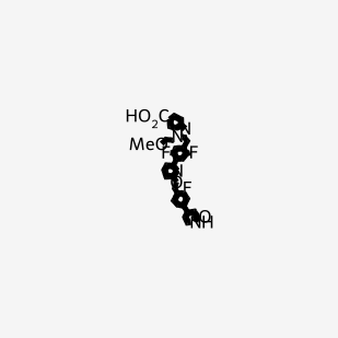 COCCn1c(Cc2cc(F)c(-c3cccc(OCc4ccc(-c5cc[nH]c(=O)c5)cc4F)n3)cc2F)nc2ccc(C(=O)O)cc21